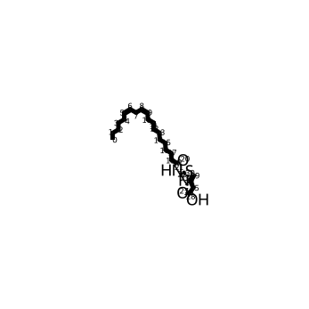 CCCCC/C=C\C/C=C\CCCCCCCCCC(=O)Nc1nc(CC(=O)O)cs1